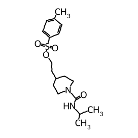 Cc1ccc(S(=O)(=O)OCCC2CCN(C(=O)NC(C)C)CC2)cc1